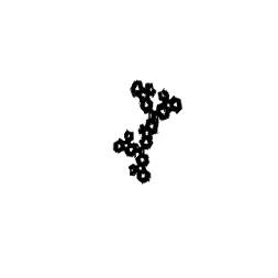 CCC1(CC)c2ccccc2-c2ccc(N(c3ccc4c(c3)C(C)(C)c3cc(N(c5ccc6c(c5)C(CC)(CC)c5ccccc5-6)c5ccc6c(c5)C(CC)(CC)c5ccccc5-6)ccc3-4)c3ccc4c(c3)C(CC)(CC)c3ccccc3-4)cc21